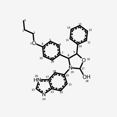 CCCOc1ccc(C2C(c3ccccc3)OC(O)N2c2ccc3nc[nH]c3c2)cc1